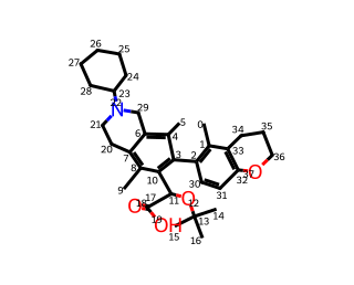 Cc1c(-c2c(C)c3c(c(C)c2C(OC(C)(C)C)C(=O)O)CCN(C2CCCCC2)C3)ccc2c1CCCO2